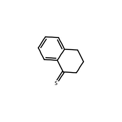 S=C1CCCc2ccccc21